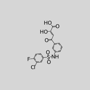 O=C(O)C(O)=CC(=O)c1cccc(NS(=O)(=O)c2ccc(F)c(Cl)c2)c1